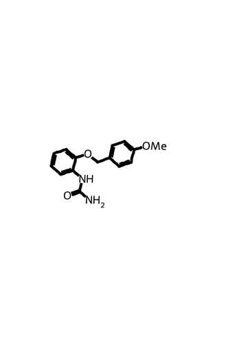 COc1ccc(COc2ccccc2NC(N)=O)cc1